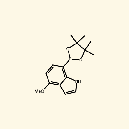 COc1ccc(B2OC(C)(C)C(C)(C)O2)c2[nH]ccc12